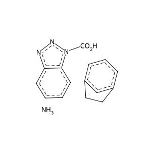 N.O=C(O)n1nnc2ccccc21.c1cc2cc(c1)CC2